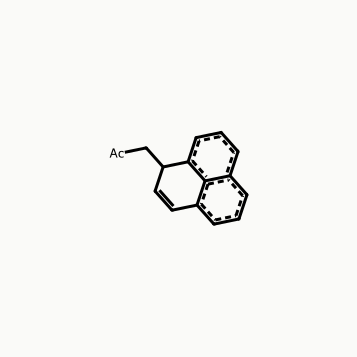 CC(=O)CC1C=Cc2cccc3cccc1c23